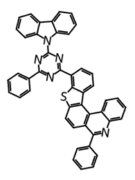 c1ccc(-c2nc(-c3cccc4c3sc3ccc5c(-c6ccccc6)nc6ccccc6c5c34)nc(-n3c4ccccc4c4ccccc43)n2)cc1